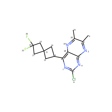 Cc1nc2nc(Cl)nc(C3CC4(C3)CC(F)(F)C4)c2nc1C